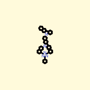 c1ccc(-c2nc(-c3ccccc3)nc(-c3cccc4ccc(-n5c6ccccc6c6cc7cc(-n8c9ccccc9c9cc%10ccccc%10cc98)ccc7cc65)cc34)n2)cc1